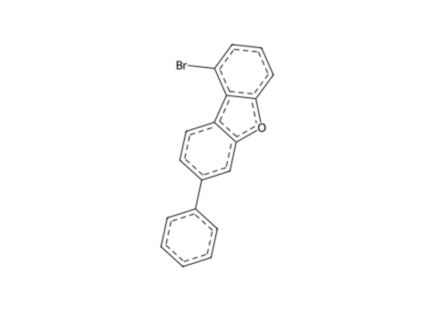 Brc1cccc2oc3cc(-c4ccccc4)ccc3c12